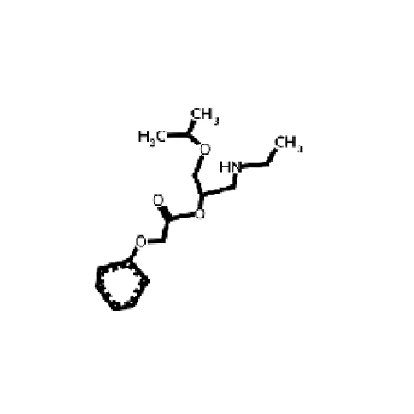 CCNCC(COC(C)C)OC(=O)COc1ccccc1